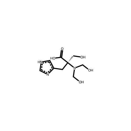 O=C(O)[C@](CO)(Cc1c[nH]cn1)N(CO)CO